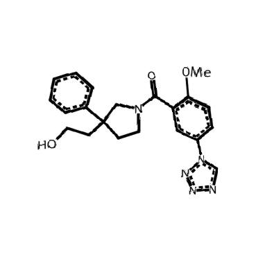 COc1ccc(-n2cnnn2)cc1C(=O)N1CCC(CCO)(c2ccccc2)C1